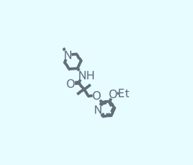 CCOc1cccnc1OCC(C)(C)C(=O)NC1CCN(C)CC1